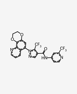 O=C(Nc1ccnc(C(F)(F)F)c1)c1cnn(-c2cc3c(c4ncccc24)OCCO3)c1C(F)(F)F